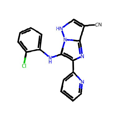 N#Cc1c[nH]n2c(Nc3ccccc3Cl)c(-c3ccccn3)nc12